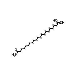 NC(=O)CCCCCCCCCCCCCCCCCCCC(O)O